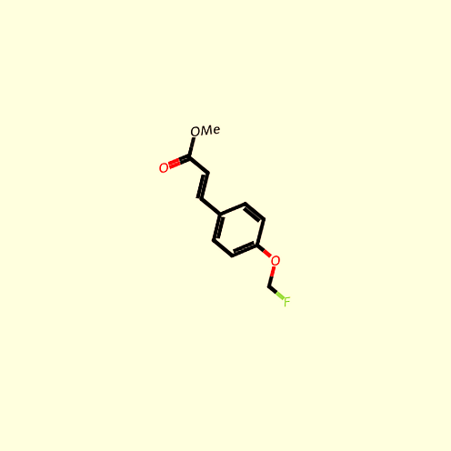 COC(=O)/C=C/c1ccc(OCF)cc1